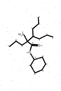 CCCC(CCC)C([SiH3])(CCC)C(=O)OC1CCCCC1